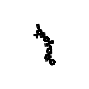 CC(C)c1cc(C#N)cc2nc(-c3ccc(C(=O)NCC4CCN(c5ccnc(N6CCCCC6)n5)CC4)cc3)oc12